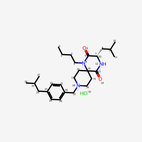 CCCCN1C(=O)[C@H](CC(C)C)NC(=O)C12CCN(Cc1ccc(CC(C)C)cc1)CC2.Cl